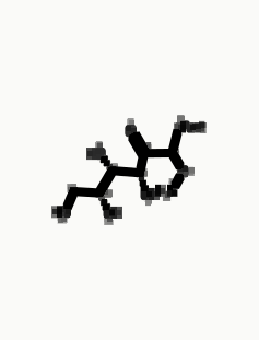 CCCCCC(ON)C(=O)[C@H](O)[C@@H](O)[C@H](O)CO